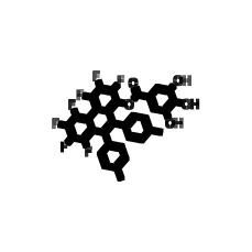 Cc1ccc(-c2c(-c3ccc(C)cc3)c3c(OC(=O)c4cc(O)c(O)c(O)c4)c(F)c(F)c(F)c3c3c(F)c(F)c(F)c(F)c23)cc1